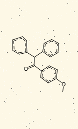 COc1ccc(C(=O)[C](c2ccccc2)c2ccccc2)cc1